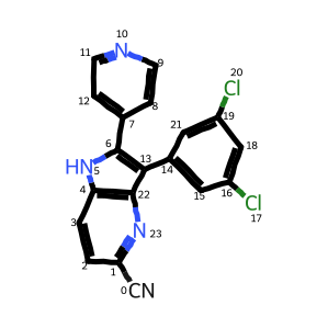 N#Cc1ccc2[nH]c(-c3ccncc3)c(-c3cc(Cl)cc(Cl)c3)c2n1